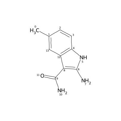 Cc1ccc2[nH]c(N)c(C(N)=O)c2c1